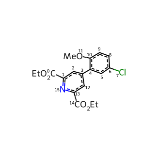 CCOC(=O)c1cc(-c2cc(Cl)ccc2OC)cc(C(=O)OCC)n1